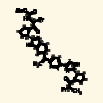 C=C(c1ccc(-c2c[nH]c([C@@H]3CCCN3C(=O)[C@@H](C)C(C)C)n2)cc1)c1ccc2nc([C@@H]3CCCN3C(=O)[C@@H](NC(=O)OC)C(C)C)[nH]c2c1